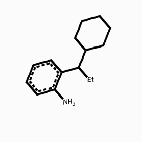 CCC(c1ccccc1N)C1CCCCC1